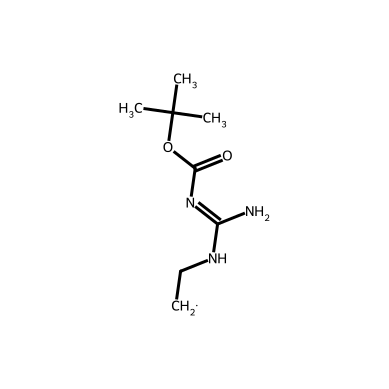 [CH2]CNC(N)=NC(=O)OC(C)(C)C